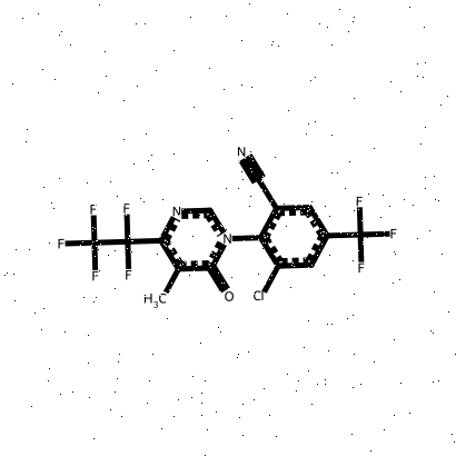 Cc1c(C(F)(F)C(F)(F)F)ncn(-c2c(Cl)cc(C(F)(F)F)cc2C#N)c1=O